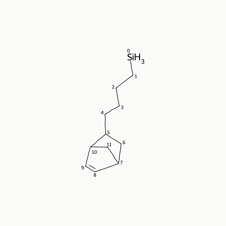 [SiH3]CCCCC1CC2C=CC1C2